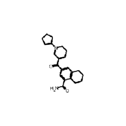 NC(=O)c1cc(C(=O)C2CCCN(C3CCCC3)C2)cc2c1CCCC2